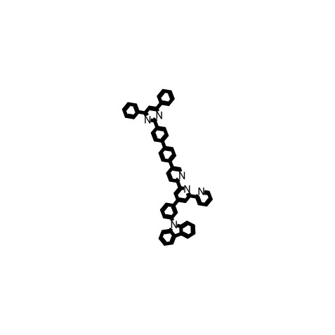 c1ccc(-c2cc(-c3ccccc3)nc(-c3ccc(-c4ccc(-c5ccc(-c6cc(-c7cccc(-n8c9ccccc9c9ccccc98)c7)cc(-c7ccccn7)n6)nc5)cc4)cc3)n2)cc1